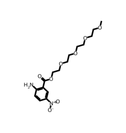 COCCOCCOCCOCCOC(=O)c1cc([N+](=O)[O-])ccc1N